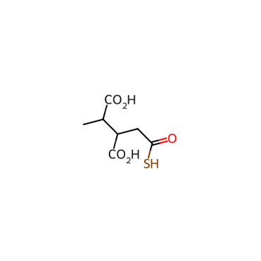 CC(C(=O)O)C(CC(=O)S)C(=O)O